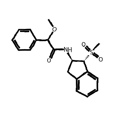 COC(C(=O)N[C@@H]1Cc2ccccc2[C@H]1S(C)(=O)=O)c1ccccc1